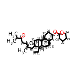 CC(C)C(=O)CC[C@@H](C)[C@H]1CC[C@H]2[C@@H]3CC=C4C[C@@H](OC5CCCCO5)CC[C@]4(C)[C@H]3CC[C@]12C